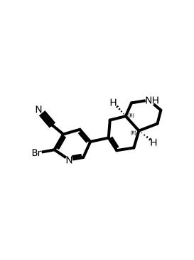 N#Cc1cc(C2=CC[C@@H]3CCNC[C@@H]3C2)cnc1Br